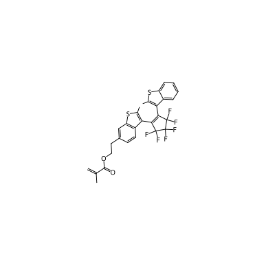 C=C(C)C(=O)OCCc1ccc2c(C3=C(c4c(C)sc5ccccc45)C(F)(F)C(F)(F)C3(F)F)c(C)sc2c1